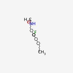 C=CC(=O)NCCCC1CCC(c2ccc(C3CCC(C4CCC(CCCCC)CC4)CC3)cc2F)CC1